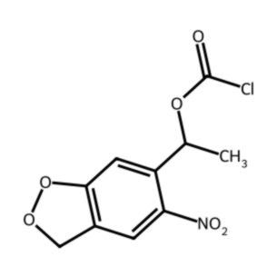 CC(OC(=O)Cl)c1cc2c(cc1[N+](=O)[O-])COO2